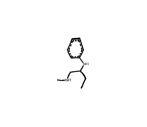 CCC(CNC)Nc1ccccc1